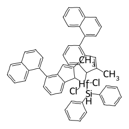 CC1=Cc2c(-c3cccc4ccccc34)cccc2[CH]1[Hf]([Cl])([Cl])([CH]1C(C)=Cc2c(-c3cccc4ccccc34)cccc21)[SiH](c1ccccc1)c1ccccc1